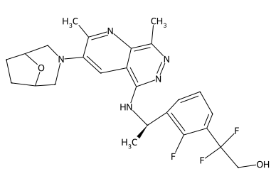 Cc1nc2c(C)nnc(N[C@H](C)c3cccc(C(F)(F)CO)c3F)c2cc1N1CC2CCC(C1)O2